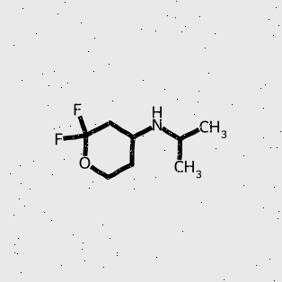 CC(C)NC1CCOC(F)(F)C1